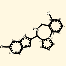 Clc1cc2oc(C3NCc4c(Cl)cccc4-n4cccc43)cc2cn1